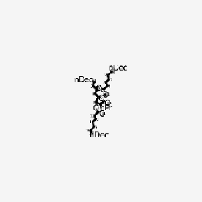 CCCCCCCCCCCCCCCCC(CCC)(OC(=O)CCCCCCCCCCCCCCC)C(=O)OOC(=O)CCCCCCCCCCCCCCC